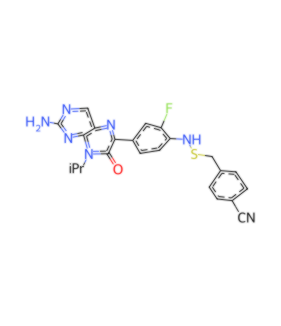 CC(C)n1c(=O)c(-c2ccc(NSCc3ccc(C#N)cc3)c(F)c2)nc2cnc(N)nc21